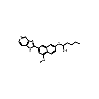 CCCCC(S)Oc1ccc2c(OC)cc(-c3nc4cnccc4[nH]3)cc2c1